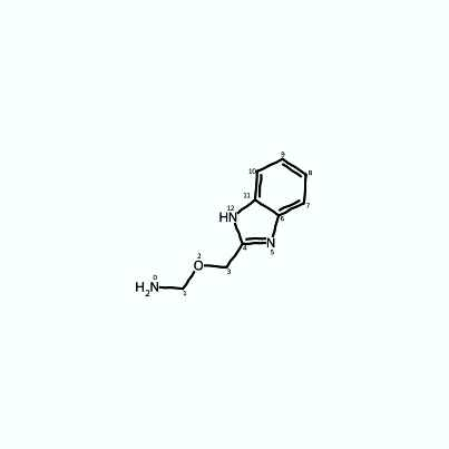 NCOCc1nc2ccccc2[nH]1